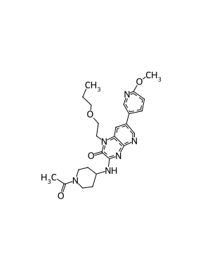 CCCOCCn1c(=O)c(NC2CCN(C(C)=O)CC2)nc2ncc(-c3ccc(OC)nc3)cc21